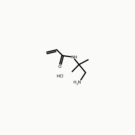 C=CC(=O)NC(C)(C)CN.Cl